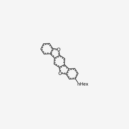 CCCCCCc1ccc2c(c1)oc1cc3c(cc12)oc1ccccc13